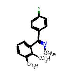 CON=C(c1ccc(F)cc1)c1cccc(C(=O)O)c1C(=O)O